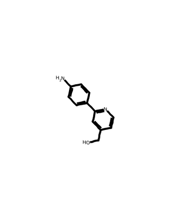 Nc1ccc(-c2cc(CO)ccn2)cc1